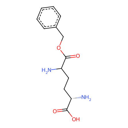 NC(CC[C@H](N)C(=O)O)C(=O)OCc1ccccc1